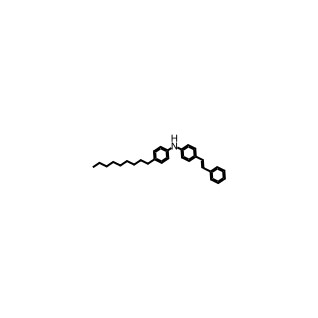 CCCCCCCCCc1ccc(Nc2ccc(C=Cc3ccccc3)cc2)cc1